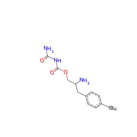 CC(C)(C)c1ccc(CC(N)COC(=O)NC(N)=O)cc1